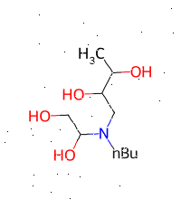 CCCCN(CC(O)C(C)O)C(O)CO